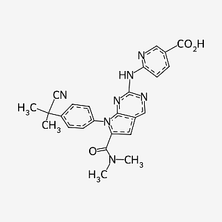 CN(C)C(=O)c1cc2cnc(Nc3ccc(C(=O)O)cn3)nc2n1-c1ccc(C(C)(C)C#N)cc1